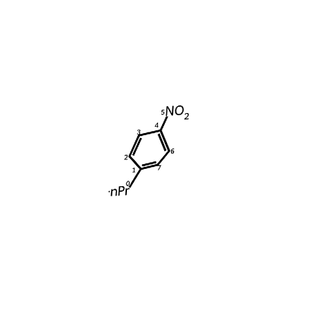 [CH2]C[CH]c1ccc([N+](=O)[O-])cc1